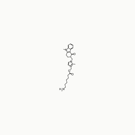 Cc1n(CC2CCc3c(c4ccccc4n3C)C2=O)cc[n+]1COC(=O)CCCCCCN